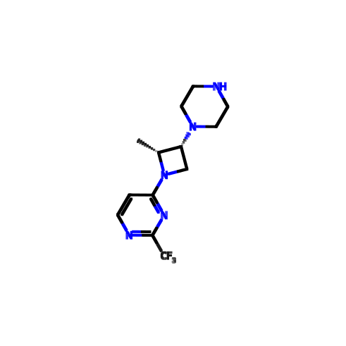 C[C@@H]1[C@H](N2CCNCC2)CN1c1ccnc(C(F)(F)F)n1